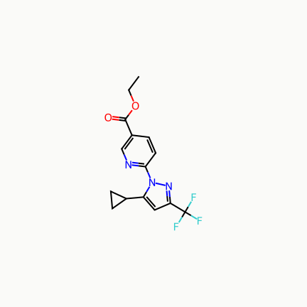 CCOC(=O)c1ccc(-n2nc(C(F)(F)F)cc2C2CC2)nc1